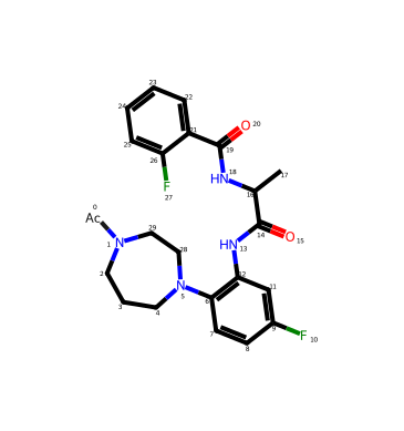 CC(=O)N1CCCN(c2ccc(F)cc2NC(=O)C(C)NC(=O)c2ccccc2F)CC1